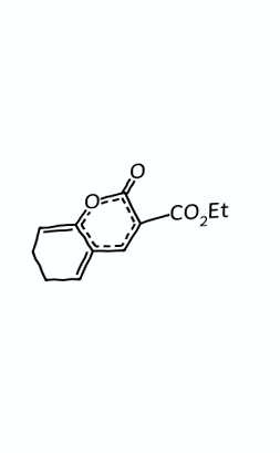 CCOC(=O)c1cc2c(oc1=O)=CCCC=2